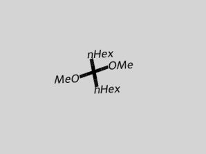 CCCCCCC(CCCCCC)(OC)OC